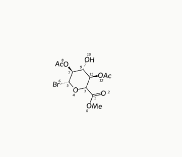 COC(=O)C1O[C@H](Br)[C@@H](OC(C)=O)[C@H](O)[C@H]1OC(C)=O